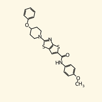 COc1ccc(NC(=O)c2cc3sc(N4CCC(Oc5ccccc5)CC4)nc3s2)cc1